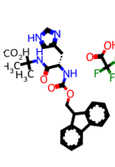 CC(C)(NC(=O)[C@H](Cc1c[nH]cn1)NC(=O)OCC1c2ccccc2-c2ccccc21)C(=O)O.O=C(O)C(F)(F)F